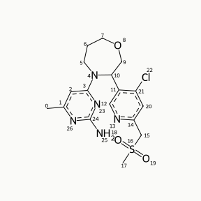 Cc1cc(N2CCCOCC2c2cnc(CS(C)(=O)=O)cc2Cl)nc(N)n1